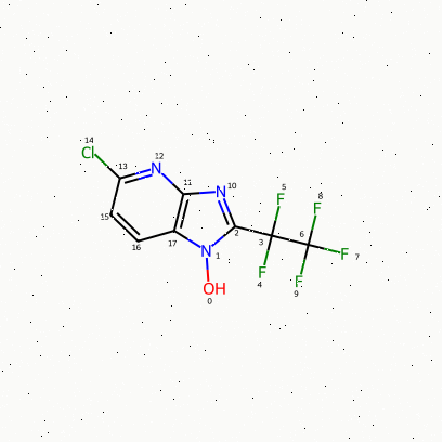 On1c(C(F)(F)C(F)(F)F)nc2nc(Cl)ccc21